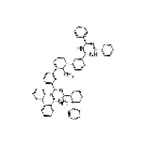 CC1C(c2cccc(C3=NC(C4CC=CCC4(C)c4ccccc4)NC(c4ccccc4-c4ccccc4)=N3)c2)=CC=CC1c1cccc(C2NC(c3ccccc3)=NC(c3ccccc3)N2)c1